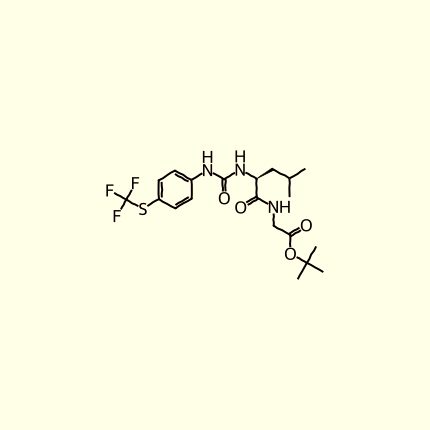 CC(C)C[C@H](NC(=O)Nc1ccc(SC(F)(F)F)cc1)C(=O)NCC(=O)OC(C)(C)C